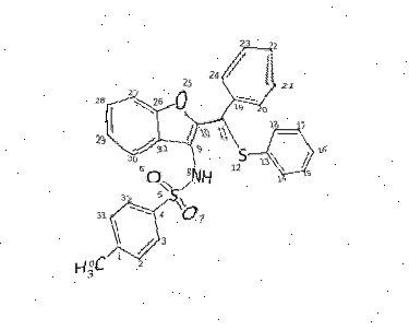 Cc1ccc(S(=O)(=O)Nc2c(C(Sc3ccccc3)c3ccccc3)oc3ccccc23)cc1